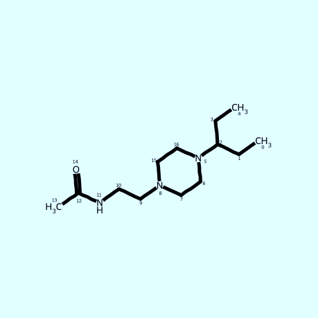 CCC(CC)N1CCN(CCNC(C)=O)CC1